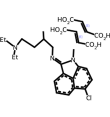 CCN(CC)CCC(C)CN=C1c2cccc3c(Cl)ccc(c23)N1C.O=C(O)/C=C/C(=O)O.O=C(O)/C=C/C(=O)O